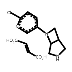 Clc1ccc(N2CC3CNCC32)cn1.O=C(O)C=CC(=O)O